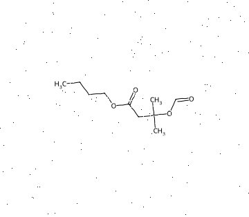 CCCCOC(=O)CC(C)(C)OC=O